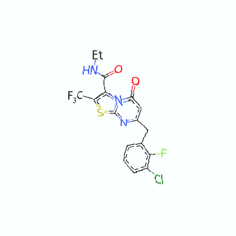 CCNC(=O)c1c(C(F)(F)F)sc2nc(Cc3cccc(Cl)c3F)cc(=O)n12